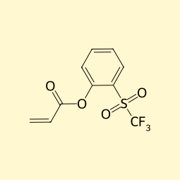 C=CC(=O)Oc1ccccc1S(=O)(=O)C(F)(F)F